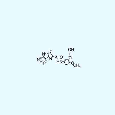 COc1ccc(NC(=O)CSc2nc3c(C)c(C#N)ncc3[nH]2)cc1OCCO